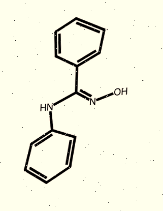 ON=C(Nc1ccccc1)c1c[c]ccc1